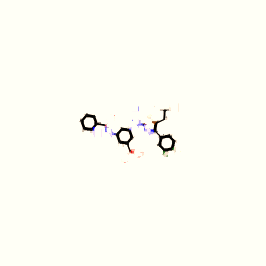 CC(C)Cc1sc(Nc2cc(NC(=O)c3ccccc3)cc(C(=O)O)c2)nc1-c1ccc(Cl)c(Cl)c1